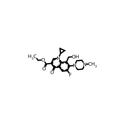 CCOC(=O)c1cn(C2CC2)c2c(CO)c(N3CCN(C)CC3)c(F)cc2c1=O